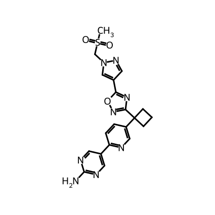 CS(=O)(=O)Cn1cc(-c2nc(C3(c4ccc(-c5cnc(N)nc5)nc4)CCC3)no2)cn1